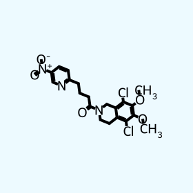 COc1c(Cl)c2c(c(Cl)c1OC)CN(C(=O)CCCc1ccc([N+](=O)[O-])cn1)CC2